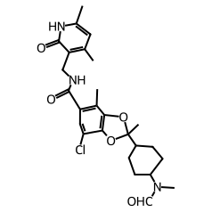 Cc1cc(C)c(CNC(=O)c2cc(Cl)c3c(c2C)OC(C)(C2CCC(N(C)C=O)CC2)O3)c(=O)[nH]1